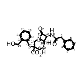 O=C(Cc1ccccc1)N[C@@H]1C(=O)N2CC(Sc3ccccc3CO)(C(=O)O)CS[C@H]12